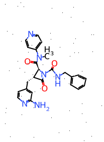 CN(C(=O)[C@@H]1[C@@H](Cc2ccnc(N)c2)C(=O)N1C(=O)NCc1ccccc1)c1ccncc1